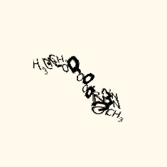 CC1OCc2c1c1ncnc(N)c1n2-c1ccc(Oc2cccc(OCc3cccc(OCCN(C)C)c3)c2)cc1